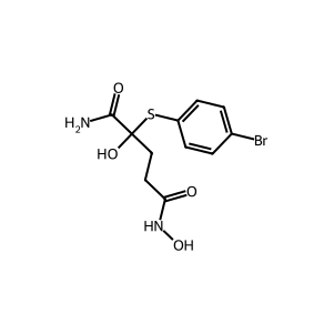 NC(=O)C(O)(CCC(=O)NO)Sc1ccc(Br)cc1